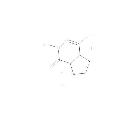 CC1=CN(C(C)C)C(=O)[C@H]2[C@@H]1CC[C@@H]2C